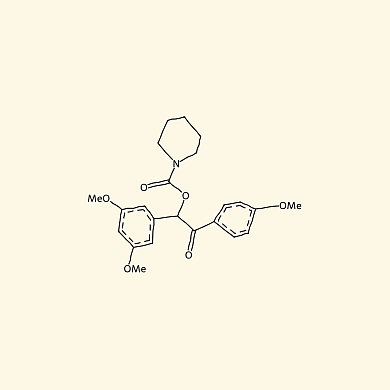 COc1ccc(C(=O)C(OC(=O)N2CCCCC2)c2cc(OC)cc(OC)c2)cc1